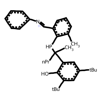 CCCC(C)(Pc1c(C)cccc1/C=N/c1ccccc1)c1cc(C(C)(C)C)cc(C(C)(C)C)c1O